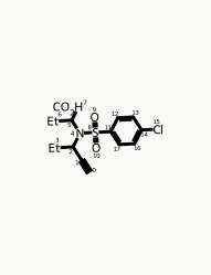 C#CC(CC)N(C(CC)C(=O)O)S(=O)(=O)c1ccc(Cl)cc1